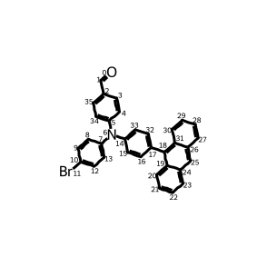 O=Cc1ccc(N(c2ccc(Br)cc2)c2ccc(-c3c4ccccc4cc4ccccc34)cc2)cc1